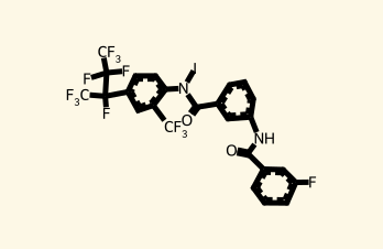 O=C(Nc1cccc(C(=O)N(I)c2ccc(C(F)(C(F)(F)F)C(F)(F)C(F)(F)F)cc2C(F)(F)F)c1)c1cccc(F)c1